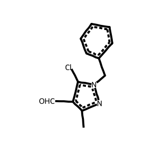 Cc1nn(Cc2ccccc2)c(Cl)c1C=O